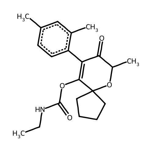 CCNC(=O)OC1=C(c2ccc(C)cc2C)C(=O)C(C)OC12CCCC2